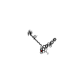 C[C@]12CC[C@@H]3c4ccc(OC(=O)N5CCC(N6CCCC6)CC5)cc4C[C@@H](CCCCCCCCC[S+]([O-])CCCC(F)(F)C(F)(F)F)[C@H]3[C@@H]1CCC2=O